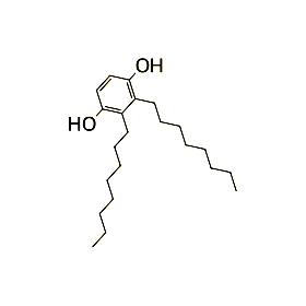 CCCCCCCCc1c(O)ccc(O)c1CCCCCCCC